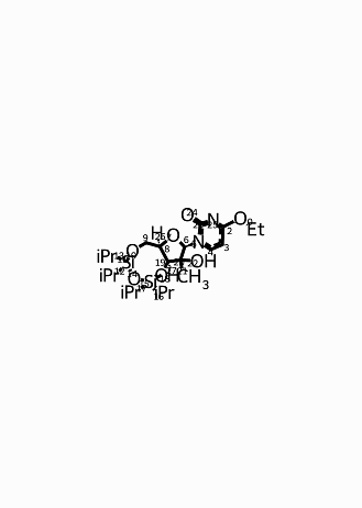 CCOc1ccn([C@@H]2O[C@@H]3CO[Si](C(C)C)(C(C)C)O[Si](C(C)C)(C(C)C)O[C@@H]3C2(C)O)c(=O)n1